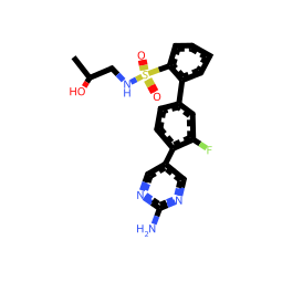 CC(O)CNS(=O)(=O)c1ccccc1-c1ccc(-c2cnc(N)nc2)c(F)c1